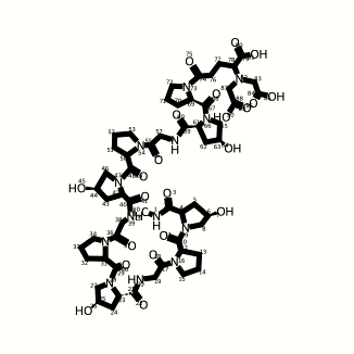 CNC(=O)C1C[C@@H](O)CN1C(=O)C1CCCN1C(=O)CNC(=O)[C@@H]1C[C@H](O)CN1C(=O)C1CCCN1C(=O)CNC(=O)C1C[C@@H](O)CN1C(=O)C1CCCN1C(=O)CNC(=O)[C@@H]1C[C@H](O)CN1C(=O)[C@H]1CCCN1C(=O)CCC(C(=O)O)N(CC(=O)O)CC(=O)O